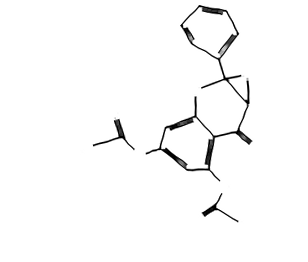 CC(=O)Oc1cc(OC(C)=O)c2c(c1)OC1(c3ccccc3)OC1C2=O